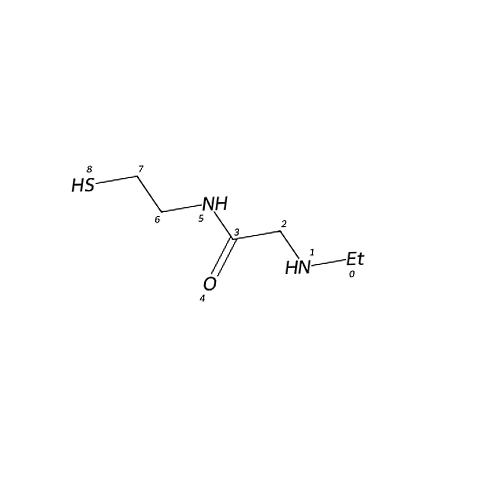 CCNCC(=O)NCCS